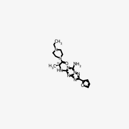 CCN1CCN(C(=O)[C@H](C)Nc2nc(N)n3nc(-c4ccco4)nc3n2)CC1